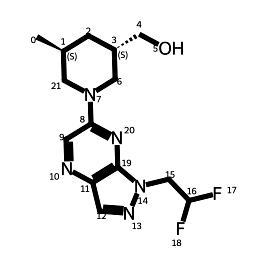 C[C@H]1C[C@H](CO)CN(c2cnc3cnn(CC(F)F)c3n2)C1